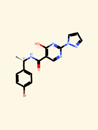 C[C@H](NC(=O)c1cnc(-n2cccn2)nc1O)c1ccc(Br)cc1